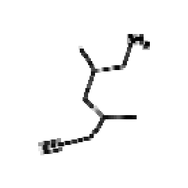 C#CCC(C)CC(C)CN